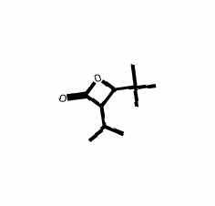 CC(C)C1C(=O)OC1C(C)(C)C